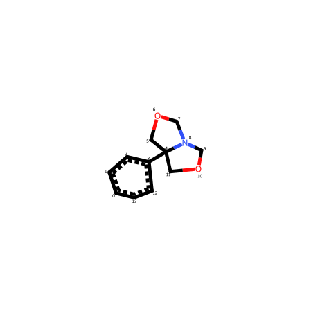 c1ccc(C23COCN2COC3)cc1